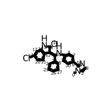 Cn1ccnc1-c1ccc(N/C(=C2\C(=O)Nc3cc(Cl)ccc32)c2ccccc2)cc1